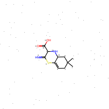 CC1(C)CC=C2SC(=N)C(C(=O)O)NC2C1